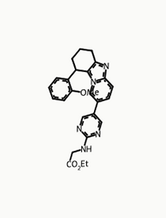 CCOC(=O)CNc1ncc(-c2ccc3nc4c(n3c2)C(c2ccccc2OC)CCC4)cn1